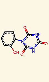 O=c1[nH]c(=O)n(-c2ccccc2O)c(=O)[nH]1